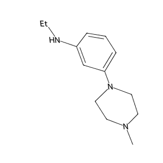 CCNc1cccc(N2CCN(C)CC2)c1